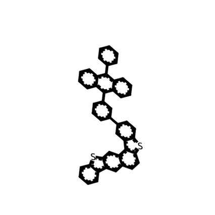 c1ccc(-c2c3ccccc3c(-c3cccc(-c4ccc5sc6ccc7cc8c(cc7c6c5c4)sc4ccccc48)c3)c3ccccc23)cc1